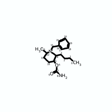 CCCCC1C(OC(N)=O)CCC(C)N1Cc1ccccc1